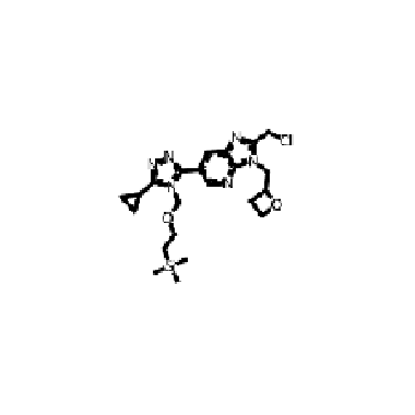 C[Si](C)(C)CCOCn1c(-c2cnc3c(c2)nc(CCl)n3CC2CCO2)nnc1C1CC1